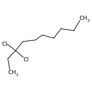 CCCCCCCC(Cl)(Cl)CC